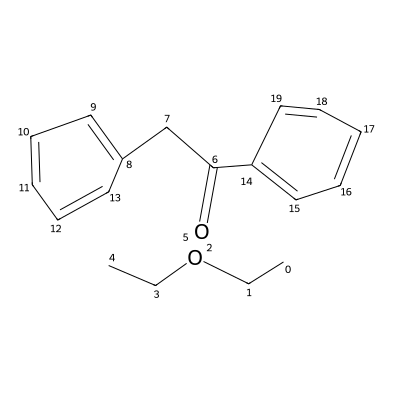 CCOCC.O=C(Cc1ccccc1)c1ccccc1